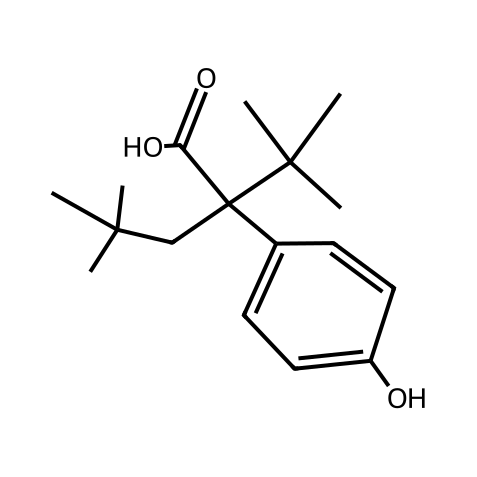 CC(C)(C)CC(C(=O)O)(c1ccc(O)cc1)C(C)(C)C